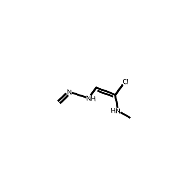 C=NN/C=C(/Cl)NC